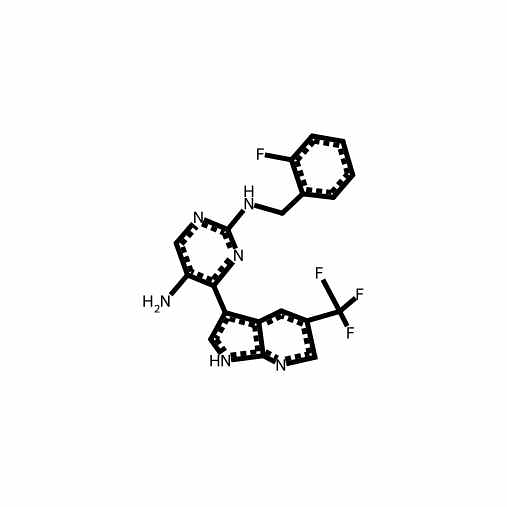 Nc1cnc(NCc2ccccc2F)nc1-c1c[nH]c2ncc(C(F)(F)F)cc12